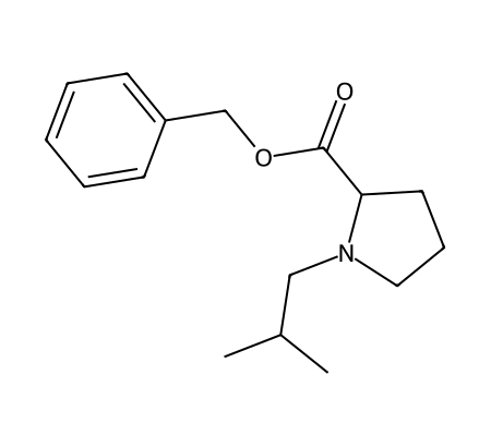 CC(C)CN1CCCC1C(=O)OCc1ccccc1